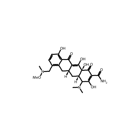 CON(C)Cc1ccc(O)c2c1C[C@H]1C[C@H]3C(N(C)C)C(O)=C(C(N)=O)C(=O)[C@@]3(O)C(O)=C1C2=O